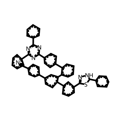 N#Cc1ccc(-c2ccc(-c3cccc(C4=NNC(c5ccccc5)S4)c3)c(-c3ccccc3-c3ccc(-c4nc(-c5ccccc5)nc(-c5ccccc5)n4)cc3)c2)cc1